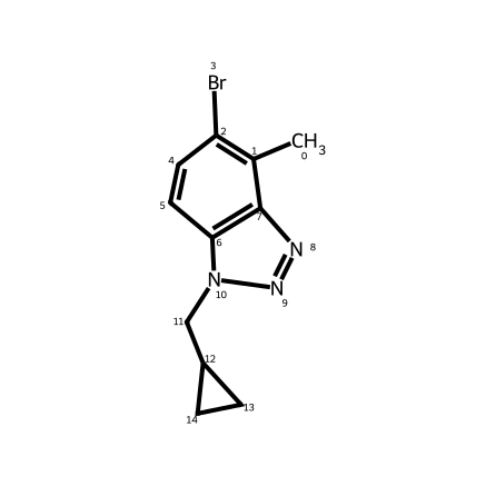 Cc1c(Br)ccc2c1nnn2CC1CC1